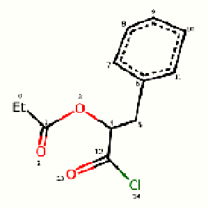 CCC(=O)OC(Cc1ccccc1)C(=O)Cl